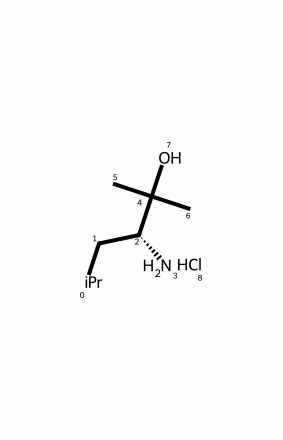 CC(C)C[C@@H](N)C(C)(C)O.Cl